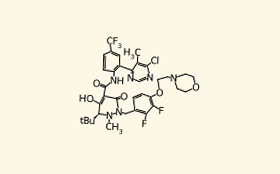 Cc1c(Cl)ncnc1-c1cc(C(F)(F)F)ccc1NC(=O)C1=C(O)[C@H](C(C)(C)C)N(C)N(Cc2ccc(OCCN3CCOCC3)c(F)c2F)C1=O